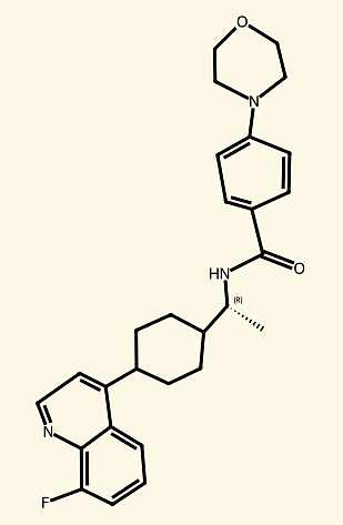 C[C@@H](NC(=O)c1ccc(N2CCOCC2)cc1)C1CCC(c2ccnc3c(F)cccc23)CC1